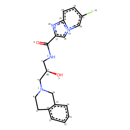 O=C(NC[C@@H](O)CN1CCc2ccccc2C1)c1cn2cc(F)ccc2n1